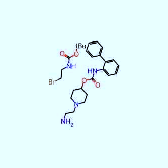 CC(C)(C)OC(=O)NCCBr.NCCN1CCC(OC(=O)Nc2ccccc2-c2ccccc2)CC1